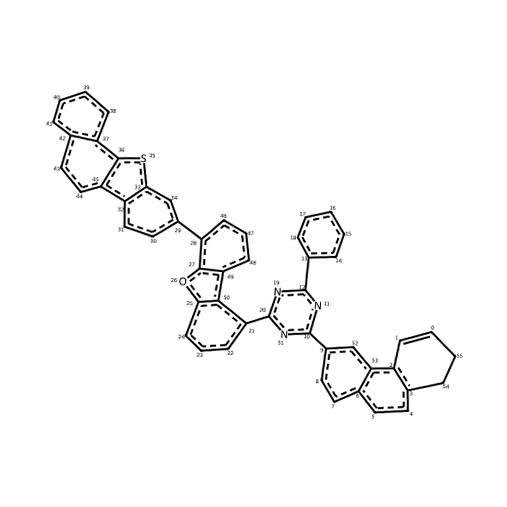 C1=Cc2c(ccc3ccc(-c4nc(-c5ccccc5)nc(-c5cccc6oc7c(-c8ccc9c(c8)sc8c%10ccccc%10ccc98)cccc7c56)n4)cc23)CC1